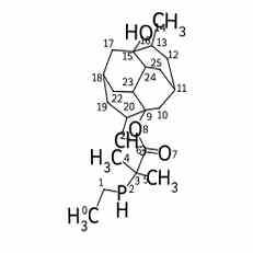 CCPC(C)(C)C(=O)OC12CC3CC(C)C4(O)CC(CC1C)CC2C4C3